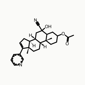 CC(=O)OC1CC[C@@]2(C)C(C1)C(O)(C#N)C[C@@H]1[C@H]2CC[C@]2(C)C(c3cccnc3)=CC[C@@H]12